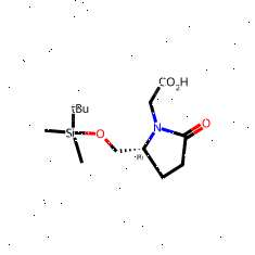 CC(C)(C)[Si](C)(C)OC[C@H]1CCC(=O)N1CC(=O)O